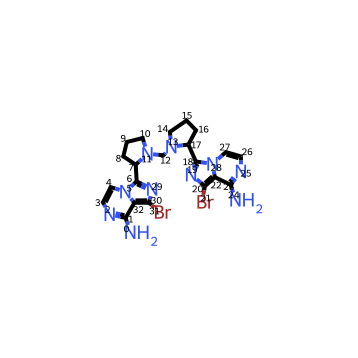 Nc1nccn2c(C3CCCN3CN3CCCC3c3nc(Br)c4c(N)nccn34)nc(Br)c12